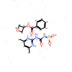 Cc1cc(C)nc(NC(=O)N=S(=O)=O)n1.O=C(OC1COC1)c1ccccc1